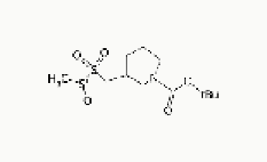 C[S+]([O-])S(=O)(=O)CC1CCCN(C(=O)OC(C)(C)C)C1